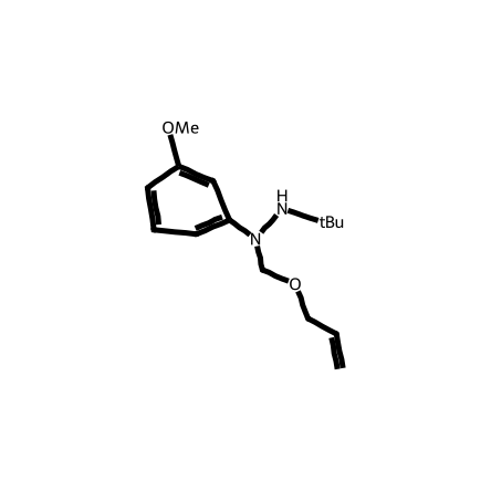 C=CCOCN(NC(C)(C)C)c1cccc(OC)c1